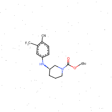 CC(C)(C)OC(=O)N1CCC[C@@H](Nc2ccc(C#N)c(C(F)(F)F)c2)C1